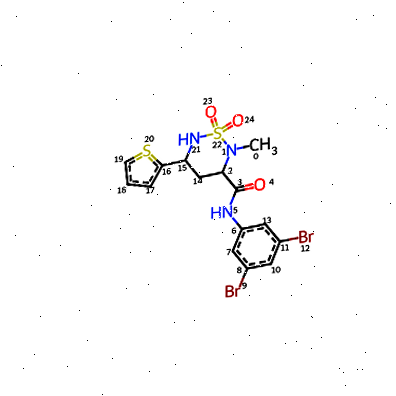 CN1C(C(=O)Nc2cc(Br)cc(Br)c2)CC(c2cccs2)NS1(=O)=O